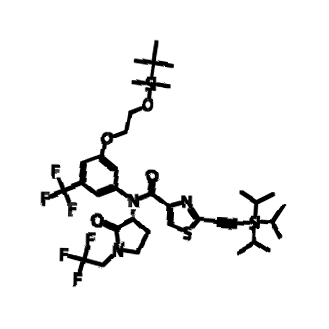 CC(C)[Si](C#Cc1nc(C(=O)N(c2cc(OCCO[Si](C)(C)C(C)(C)C)cc(C(F)(F)F)c2)[C@@H]2CCN(CC(F)(F)F)C2=O)cs1)(C(C)C)C(C)C